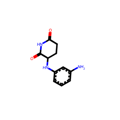 Nc1cccc(NC2CCC(=O)NC2=O)c1